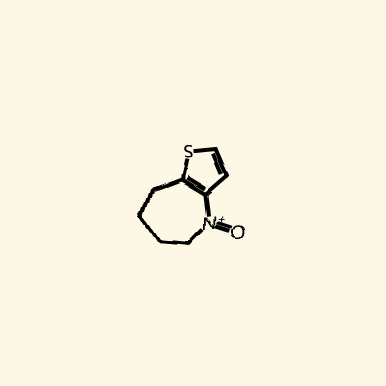 O=[N+]1CCCCc2sccc21